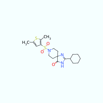 Cc1cc(S(=O)(=O)N2CCC3(CC2)N=C(C2CCCCC2)NC3=O)c(C)s1